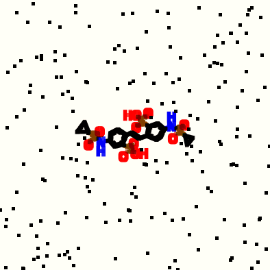 O=S(=O)(O)c1cc(NS(=O)(=O)C2CC2)ccc1/C=C/c1ccc(NS(=O)(=O)C2CC2)cc1S(=O)(=O)O